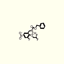 CN(Cc1cc([N+](=O)[O-])cc(F)c1OCC(F)F)C(=O)OCc1ccccc1